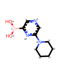 OB(O)c1cncc(N2CCCCC2)n1